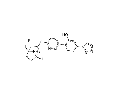 Oc1cc(-n2ccnn2)ccc1-c1ccc(O[C@H]2C[C@@H]3C=C[C@@H](N3)[C@@H]2F)nn1